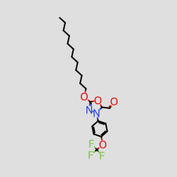 CCCCCCCCCCCCOC1=NN(c2ccc(OC(F)(F)F)cc2)C(C=O)O1